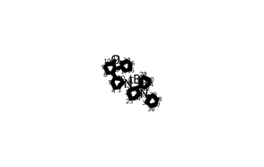 CC(C)(C)N(c1cccc(-c2cccc3oc4ccccc4c23)c1)c1cccc2c1c1ccccc1n2-c1ccccc1